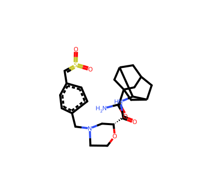 NC(=O)C12CC3CC(C1)C(NC(=O)[C@H]1CN(Cc4ccc(C=S(=O)=O)cc4)CCO1)C(C3)C2